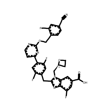 N#Cc1ccc(COc2nccc(-c3cc(F)c(Cc4nc5c(F)cc(C(=O)O)cc5n4C[C@@H]4CCO4)cc3F)n2)c(F)c1